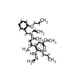 C=CCOc1ccccc1CN(C=C)N(C)/N=C(C)\C(CC(=O)OC)=C(\NCCC)NN=C